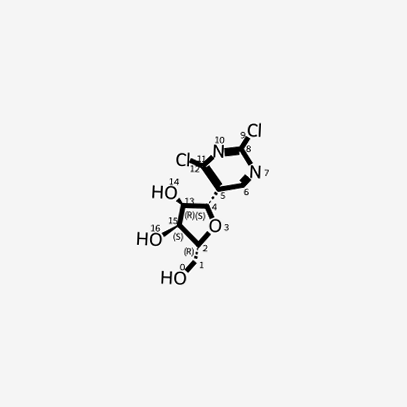 OC[C@H]1O[C@@H](c2cnc(Cl)nc2Cl)[C@H](O)[C@@H]1O